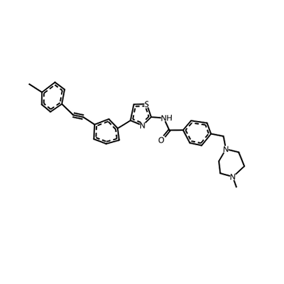 Cc1ccc(C#Cc2cccc(-c3csc(NC(=O)c4ccc(CN5CCN(C)CC5)cc4)n3)c2)cc1